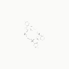 C1=CC2=NC1=CC1=NC(=C(Nc3ccccc3)C3=NC(=CC4=NC(=C2Nc2ccccc2)C=C4)C=C3c2ccccc2)C=C1